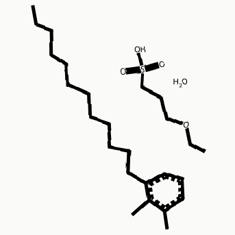 CCCCCCCCCCCCc1cccc(C)c1C.CCOCCCS(=O)(=O)O.O